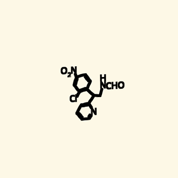 O=CNCC(c1ccccn1)c1ccc([N+](=O)[O-])cc1Cl